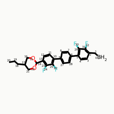 BCc1ccc(-c2ccc(-c3ccc(C4OCC(CCC)CO4)c(F)c3F)cc2)c(F)c1F